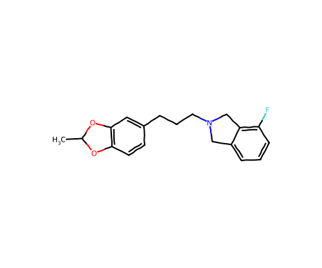 CC1Oc2ccc(CCCN3Cc4cccc(F)c4C3)cc2O1